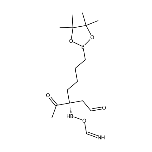 CC(=O)[C@](BOC=N)(CC=O)CCCCB1OC(C)(C)C(C)(C)O1